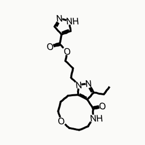 CCc1nn(CCCOC(=O)c2cn[nH]c2)c2c1C(=O)NCCCOCCC2